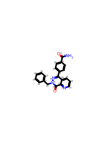 NC(=O)c1ccc(-c2nn(Cc3ccccc3)c(=O)c3ncccc23)cc1